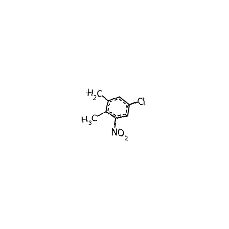 [CH2]c1cc(Cl)cc([N+](=O)[O-])c1C